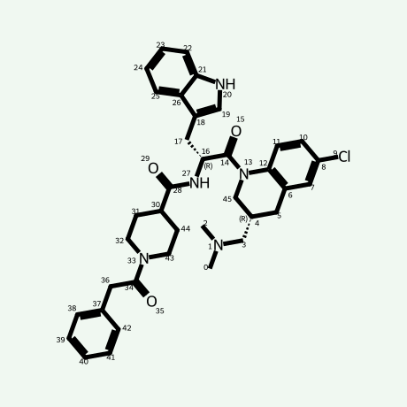 CN(C)C[C@H]1Cc2cc(Cl)ccc2N(C(=O)[C@@H](Cc2c[nH]c3ccccc23)NC(=O)C2CCN(C(=O)Cc3ccccc3)CC2)C1